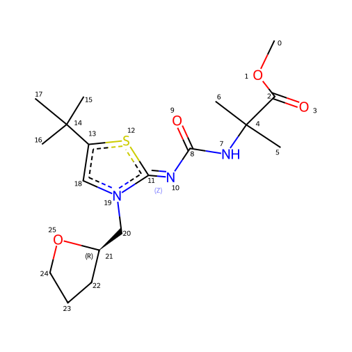 COC(=O)C(C)(C)NC(=O)/N=c1\sc(C(C)(C)C)cn1C[C@H]1CCCO1